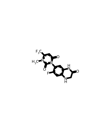 Cn1c(C(F)(F)F)cc(=O)n(-c2cc3c(cc2F)NCC(=O)N3)c1=O